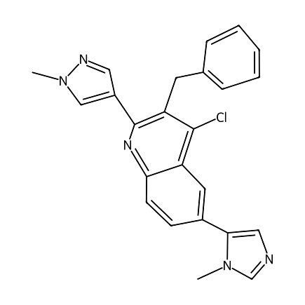 Cn1cc(-c2nc3ccc(-c4cncn4C)cc3c(Cl)c2Cc2ccccc2)cn1